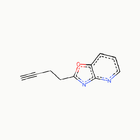 C#CCCc1nc2ncccc2o1